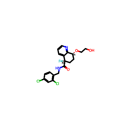 O=C(NCc1ccc(Cl)cc1Cl)[C@@]1(F)CC[C@@H](OCCO)c2ncccc21